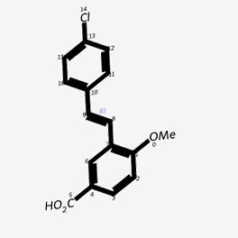 COc1ccc(C(=O)O)cc1/C=C/c1ccc(Cl)cc1